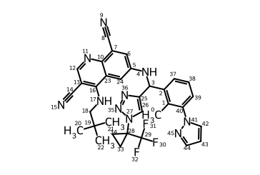 Cc1c(C(Nc2cc(C#N)c3ncc(C#N)c(NCC(C)(C)C)c3c2)c2cn(C3(C(F)(F)F)CC3)nn2)cccc1-n1cccn1